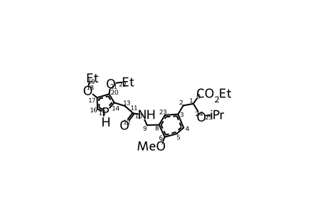 CCOC(=O)C(Cc1ccc(OC)c(CNC(=O)Cc2[pH]cc(OCC)c2OCC)c1)OC(C)C